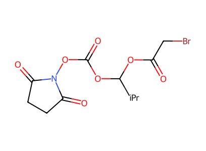 CC(C)C(OC(=O)CBr)OC(=O)ON1C(=O)CCC1=O